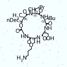 CCCCCCCCCC[C@H]1OC(=O)CNC(=O)[C@H](COCCCN)NC(=O)[C@H](CO)NC(=O)[C@H](C(C)CC)NC(=O)[C@H](CC(C)C)N(C)C(=O)[C@@H]1C